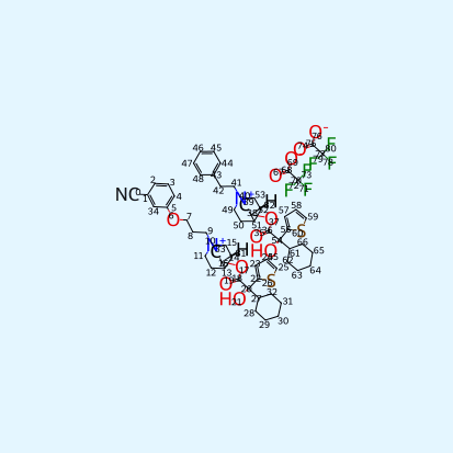 N#Cc1cccc(OCCC[N+]23CCC(CC2)[C@@H](OC(=O)[C@](O)(c2cccs2)C2CCCCC2)C3)c1.O=C(O[C@H]1C[N+]2(CCc3ccccc3)CCC1CC2)[C@](O)(c1cccs1)C1CCCCC1.O=C([O-])C(F)(F)F.O=C([O-])C(F)(F)F